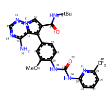 COc1cc(-c2c(C(=O)NC(C)(C)C)cn3ncnc(N)c23)ccc1NC(=O)Nc1cccc(C(F)(F)F)n1